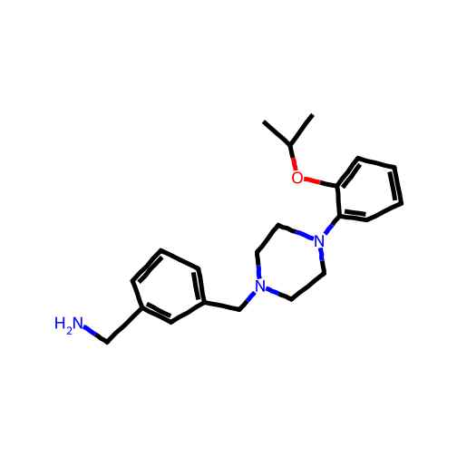 CC(C)Oc1ccccc1N1CCN(Cc2cccc(CN)c2)CC1